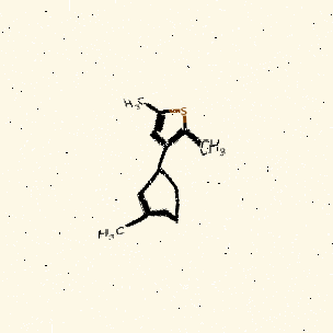 Cc1cc(C2CCC(C)C2)c(C)s1